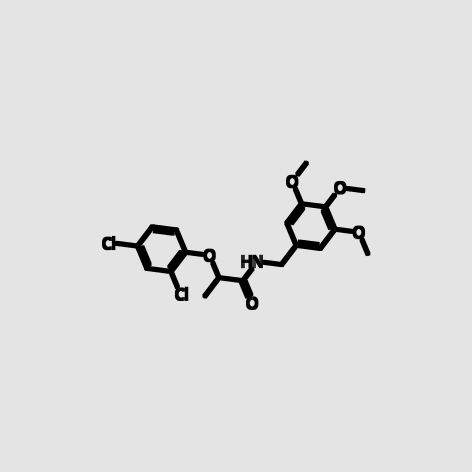 COc1cc(CNC(=O)C(C)Oc2ccc(Cl)cc2Cl)cc(OC)c1OC